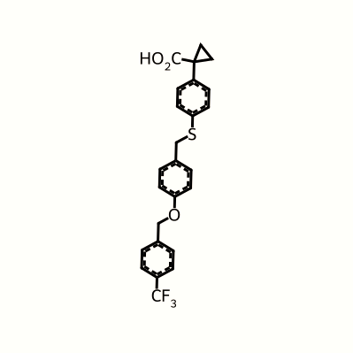 O=C(O)C1(c2ccc(SCc3ccc(OCc4ccc(C(F)(F)F)cc4)cc3)cc2)CC1